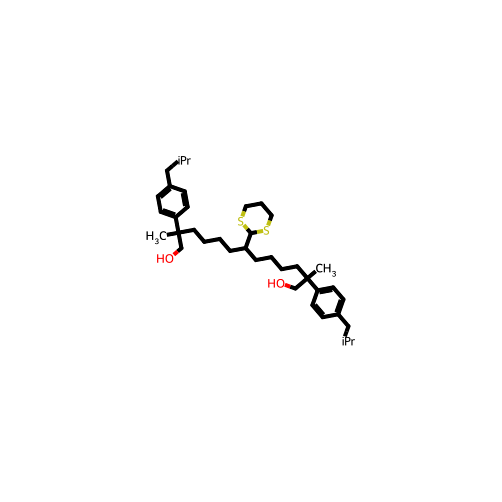 CC(C)Cc1ccc(C(C)(CO)CCCCC(CCCCC(C)(CO)c2ccc(CC(C)C)cc2)C2SCCCS2)cc1